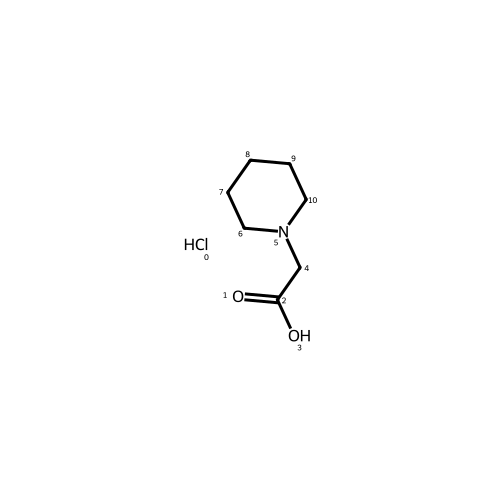 Cl.O=C(O)CN1CCCCC1